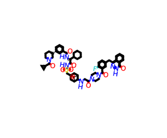 O=C(N[C@@H](C(=O)NS(=O)(=O)CC12CCC(NCC(=O)N3CCN(C(=O)c4cc(Cc5n[nH]c(=O)c6ccccc56)ccc4F)CC3)(CC1)CO2)C1CCCCC1)c1cccc([C@H]2CCCN(C(=O)C3CC3)C2)c1